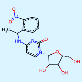 CC(Nc1ccn([C@@H]2O[C@H](CO)C(O)C2O)c(=O)n1)c1ccccc1[N+](=O)[O-]